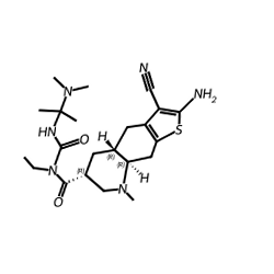 CCN(C(=O)NC(C)(C)N(C)C)C(=O)[C@@H]1C[C@@H]2Cc3c(sc(N)c3C#N)C[C@H]2N(C)C1